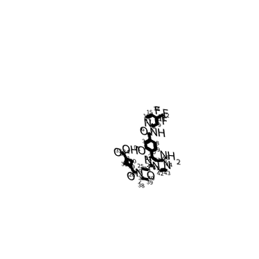 COc1cc(C(=O)Nc2cc(C(F)(F)F)ccn2)ccc1-c1nc([C@H]2CN(C(=O)C34CC(C(=O)O)(C3)C4)[C@@H](C)CO2)n2ccnc(N)c12